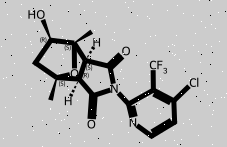 C[C@@]12O[C@@](C)(C[C@H]1O)[C@@H]1C(=O)N(c3nccc(Cl)c3C(F)(F)F)C(=O)[C@@H]12